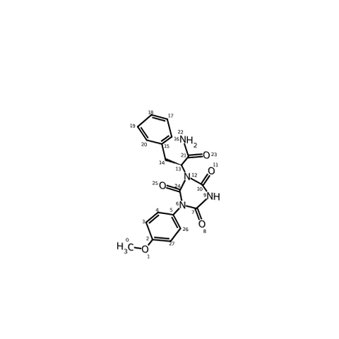 COc1ccc(-n2c(=O)[nH]c(=O)n([C@@H](Cc3ccccc3)C(N)=O)c2=O)cc1